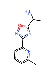 Cc1cccc(-c2noc(C(C)N)n2)n1